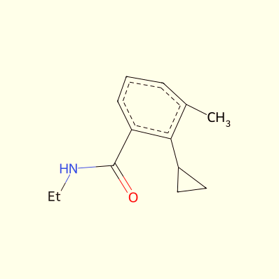 CCNC(=O)c1cccc(C)c1C1CC1